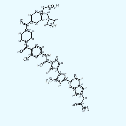 Cn1c(-c2cn(-c3cc4nn(CC(N)=O)cc4cn3)nc2C(F)(F)F)cnc1C(=O)Nc1ccc(C(=O)N2CCN(C(=O)C3CC[N+](CC(=O)O)(CC4CNC4)CC3)CC2)c(Cl)c1